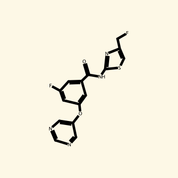 O=C(Nc1nc(CF)cs1)c1cc(F)cc(Oc2cncnc2)c1